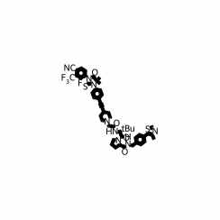 Cc1ncsc1-c1ccc(CNC(=O)C2CCCN2C(=O)C(NC(=O)CN2CCC(C#Cc3ccc(N4C(=S)N(c5ccc(C#N)c(C(F)(F)F)c5F)C(=O)C4(C)C)cc3)CC2)C(C)(C)C)cc1